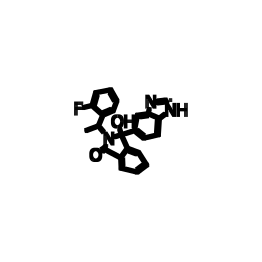 CC(c1ccccc1F)N1C(=O)c2ccccc2C1(O)c1ccc2[nH][c]nc2c1